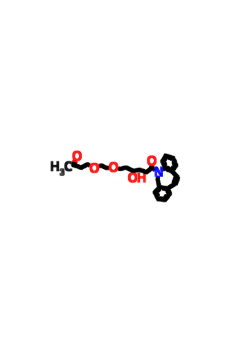 CC(=O)CCOCCOCCC(O)CCC(=O)N1Cc2ccccc2C#Cc2ccccc21